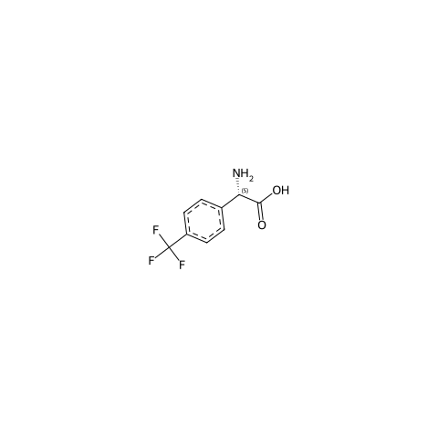 N[C@H](C(=O)O)c1ccc(C(F)(F)F)cc1